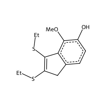 CCSC1=C(SCC)c2c(ccc(O)c2OC)C1